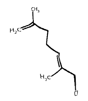 C=C(C)CC/C=C(\C)CCl